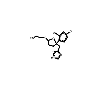 OCCOC1CCC(Cc2nc[nH]n2)(c2ccc(Cl)cc2Cl)O1